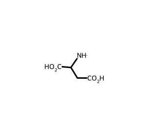 [NH]C(CC(=O)O)C(=O)O